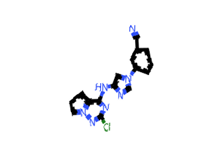 N#Cc1cccc(-n2cnc(Nc3nc(Cl)nn4cccc34)c2)c1